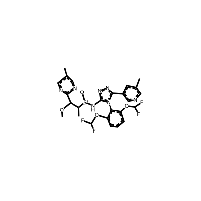 COC(c1ncc(C)cn1)C(C)[S+]([O-])Nc1nnc(-c2cncc(C)c2)n1-c1c(OC(F)F)cccc1OC(F)F